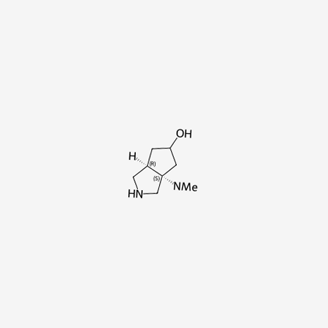 CN[C@]12CNC[C@H]1CC(O)C2